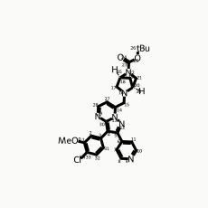 COc1cc(-c2c(-c3ccncc3)nn3c(CN4C[C@@H]5C[C@H]4CN5C(=O)OC(C)(C)C)ccnc23)ccc1Cl